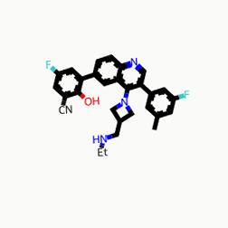 CCNCC1CN(c2c(-c3cc(C)cc(F)c3)cnc3ccc(-c4cc(F)cc(C#N)c4O)cc23)C1